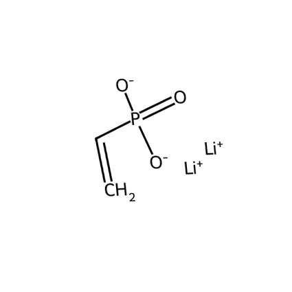 C=CP(=O)([O-])[O-].[Li+].[Li+]